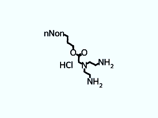 CCCCCCCCCCCCOC(=O)CN(CCN)CCN.Cl